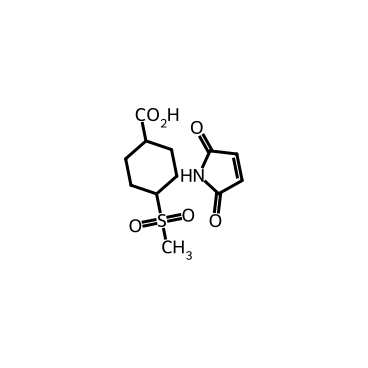 CS(=O)(=O)C1CCC(C(=O)O)CC1.O=C1C=CC(=O)N1